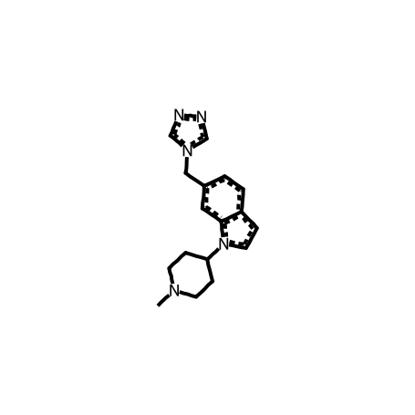 CN1CCC(n2ccc3ccc(Cn4cnnc4)cc32)CC1